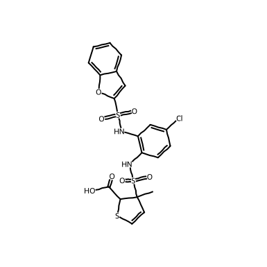 CC1(S(=O)(=O)Nc2ccc(Cl)cc2NS(=O)(=O)c2cc3ccccc3o2)C=CSC1C(=O)O